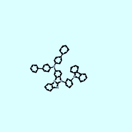 c1ccc(-c2ccc(N(c3ccc(-c4ccccc4)cc3)c3ccc4c(c3)n3c5ccccc5nc3n4-c3cccc(-n4c5ccccc5c5ccccc54)c3)cc2)cc1